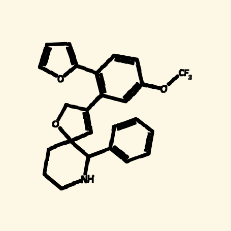 FC(F)(F)Oc1ccc(-c2ccco2)c(C2=CC3(CCCNC3c3ccccc3)OC2)c1